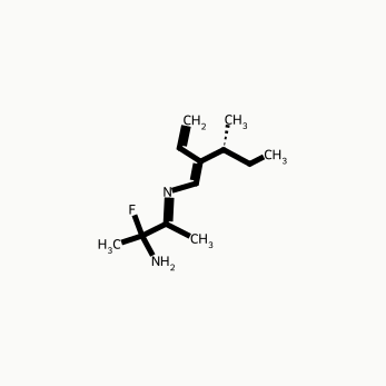 C=C/C(=C\N=C(/C)C(C)(N)F)[C@H](C)CC